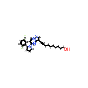 OCCCCCCCCC#Cc1cnn2ccc(N3CCC[C@@H]3c3cc(F)ccc3F)nc12